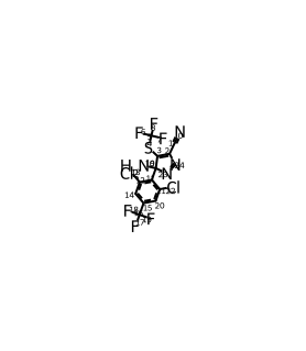 N#CC1=C(SC(F)(F)F)C(N)(c2c(Cl)cc(C(F)(F)F)cc2Cl)N=N1